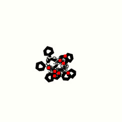 C[Si]1(O)O[Si]2(c3ccccc3)C[Si]3(c4ccccc4)O[Si]4(c5ccccc5)O[Si](C)(O)O[Si]5(c6ccccc6)O[Si](c6ccccc6)(O3)O[Si](c3ccccc3)(O1)O[Si](c1ccccc1)(O5)O[Si](c1ccccc1)(O2)O4